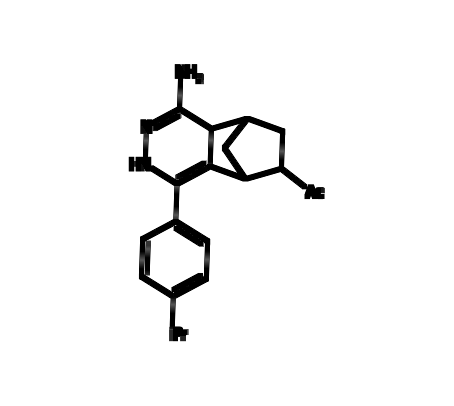 CC(=O)C1CC2CC1C1=C(c3ccc(C(C)C)cc3)NN=C(N)C12